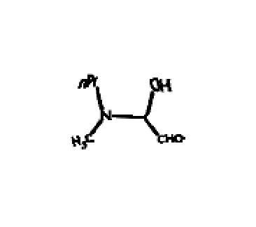 CCCN(C)C(O)[C]=O